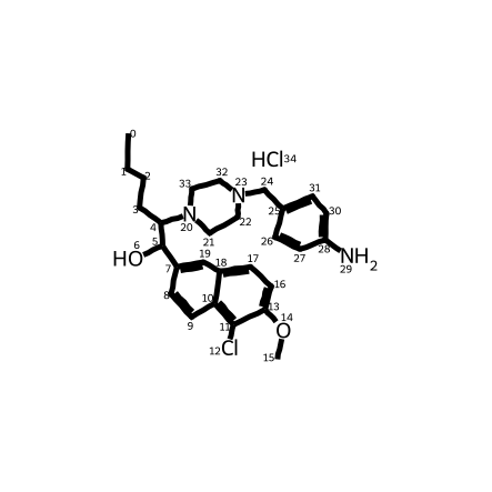 CCCCC(C(O)c1ccc2c(Cl)c(OC)ccc2c1)N1CCN(Cc2ccc(N)cc2)CC1.Cl